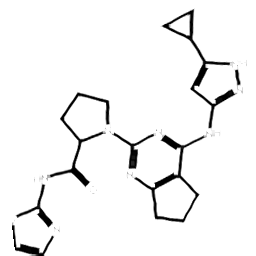 O=C(Nc1nccs1)C1CCCN1c1nc2c(c(Nc3cc(C4CC4)[nH]n3)n1)CCC2